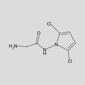 NCC(=O)Nn1c(Cl)ccc1Cl